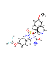 COc1ccc(CCN2C(=O)NCC2(NS(=O)(=O)Cc2cccnc2)c2ccc(OC(F)F)cc2)cc1